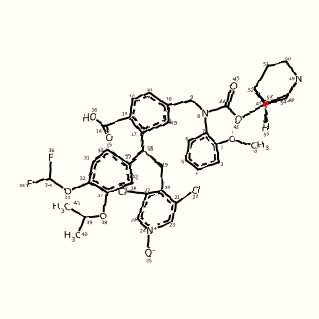 COc1ccccc1N(Cc1ccc(C(=O)O)c([C@@H](Cc2c(Cl)c[n+]([O-])cc2Cl)c2ccc(OC(F)F)c(OC(C)C)c2)c1)C(=O)O[C@H]1CN2CCC1CC2